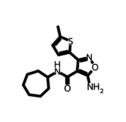 Cc1ccc(-c2noc(N)c2C(=O)NC2CCCCCC2)s1